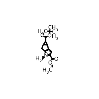 CCOC(=O)c1cc2c(n1P)CC1C(C(=O)OC(C)(C)C)C21